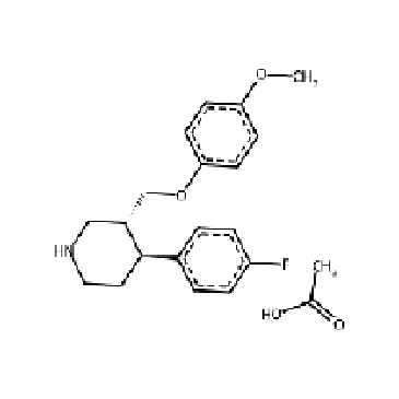 CC(=O)O.COc1ccc(OC[C@H]2CNCC[C@@H]2c2ccc(F)cc2)cc1